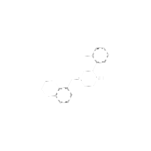 CC(C)c1ccccc1C1CN(Cc2cccc3c2OCCO3)CCN1